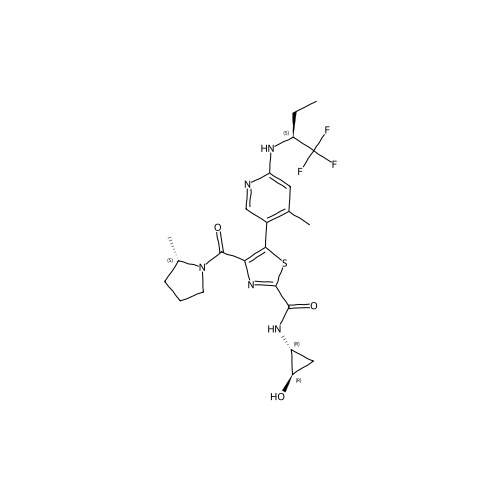 CC[C@H](Nc1cc(C)c(-c2sc(C(=O)N[C@@H]3C[C@H]3O)nc2C(=O)N2CCC[C@@H]2C)cn1)C(F)(F)F